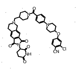 N#Cc1ccc(OC2CCN(c3ccc(C(=O)N4CCC(CN5CCc6cc7c(cc6C5)C(=O)N(C5CCC(=O)NC5=O)C7=O)CC4)cc3)CC2)cc1Cl